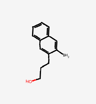 Bc1cc2ccccc2cc1CCCO